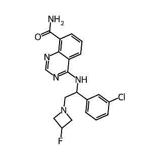 NC(=O)c1cccc2c(NC(CN3CC(F)C3)c3cccc(Cl)c3)ncnc12